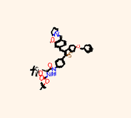 COc1cc(Cc2c(-c3ccc(NC(=O)[C@H](CO[Si](C)(C)C(C)(C)C)NC(=O)OC(C)(C)C)cc3)sc3cc(OCc4ccccc4)ccc23)ccc1CN1CCCC1